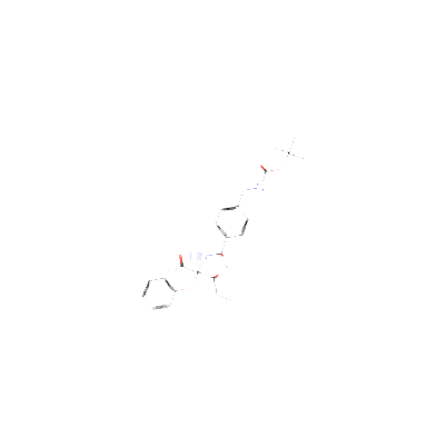 CCC(=O)C(NC(=O)c1ccc(CNC(=O)OC(C)(C)C)cc1)(Oc1ccccc1)C(=O)O